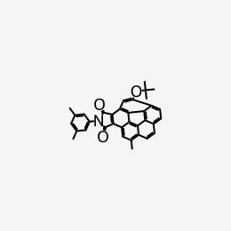 Cc1cc(C)cc(-n2c(=O)c3c4cc(C)c5ccc6ccc7c(OC(C)(C)C)cc(c3c2=O)c2c7c6c5c42)c1